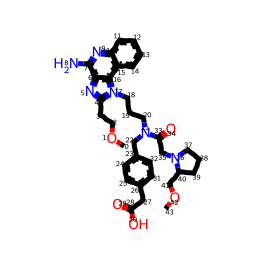 COCCc1nc2c(N)nc3ccccc3c2n1CCCN(Cc1ccc(CC(=O)O)cc1)C(=O)CN1CCCC1COC